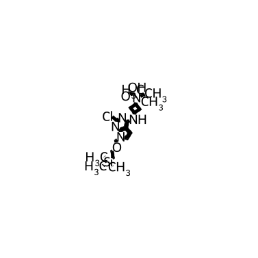 CC(C)(C)N(C(=O)O)C1CC(Nc2nc(Cl)nc3c2ccn3COCC[Si](C)(C)C)C1